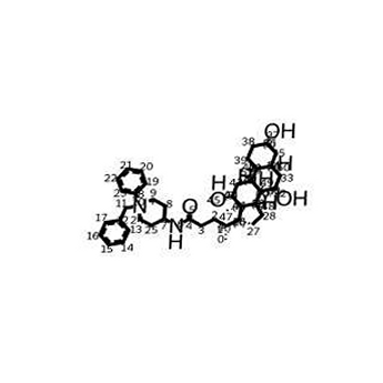 C[C@H](CCC(=O)NC1CC[N+](Cc2ccccc2)(c2ccccc2)CC1)[C@H]1CC[C@H]2[C@@H]3[C@H](O)C[C@@H]4C[C@H](O)CC[C@]4(C)[C@H]3C[C@H](O)[C@]12C